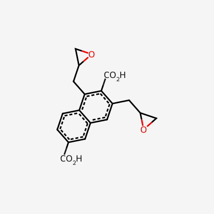 O=C(O)c1ccc2c(CC3CO3)c(C(=O)O)c(CC3CO3)cc2c1